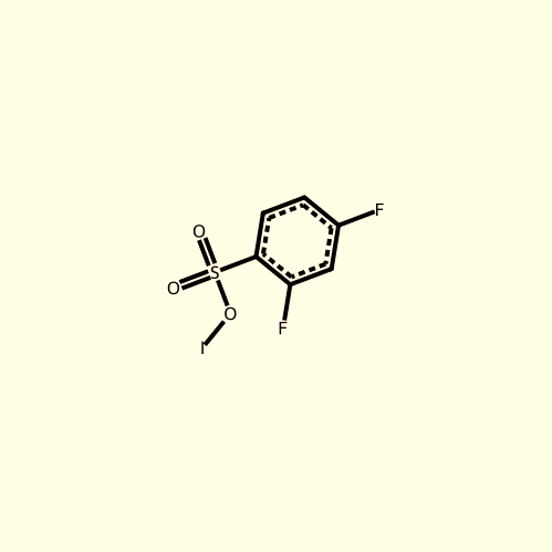 O=S(=O)(OI)c1ccc(F)cc1F